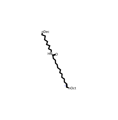 CCCCCCCC/C=C/CCCCCCCCCCCC(=O)NCCCCCCCCCCCCCCCCCC